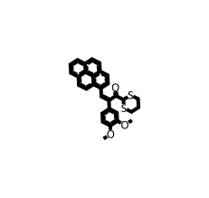 COc1ccc(C(=Cc2ccc3ccc4cccc5ccc2c3c45)C(=O)C2SCCCS2)cc1OC